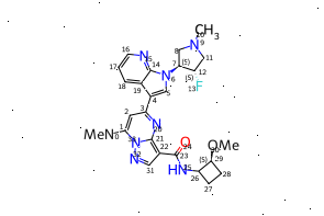 CNc1cc(-c2cn([C@H]3CN(C)C[C@@H]3F)c3ncccc23)nc2c(C(=O)NC3CC[C@@H]3OC)cnn12